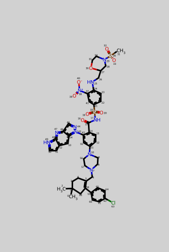 CC1(C)CCC(CN2CCN(c3ccc(C(=O)NS(=O)(=O)c4ccc(NCC5CN(S(C)(=O)=O)CCO5)c([N+](=O)[O-])c4)c(-n4ncc5nc6[nH]ccc6cc54)c3)CC2)=C(c2ccc(Cl)cc2)C1